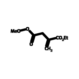 C=C(CC(=O)OOC)C(=O)OCC